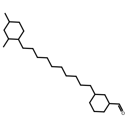 CC1CCC(CCCCCCCCCCC2CCCC(C=O)C2)C(C)C1